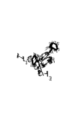 CCOC(=O)[C@@H](O)[C@H](NC(=O)OCc1ccccc1)c1ccc(C)cc1